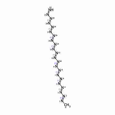 C/N=N/N=N/N=N/N=N/N=N/N=N/N=N/N=N/N=N/N=N/N=N